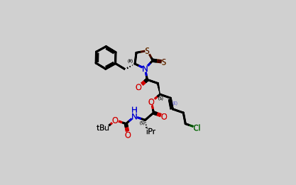 CC(C)[C@H](NC(=O)OC(C)(C)C)C(=O)O[C@H](/C=C/CCCl)CC(=O)N1C(=S)SC[C@H]1Cc1ccccc1